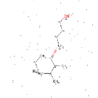 CC(C)C(C)C=O.CCC.CCCCO